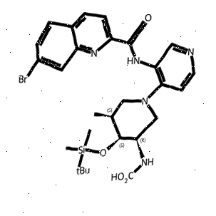 C[C@H]1CN(c2ccncc2NC(=O)c2ccc3ccc(Br)cc3n2)C[C@@H](NC(=O)O)[C@H]1O[Si](C)(C)C(C)(C)C